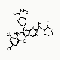 NC(=O)[C@H]1CC[C@@H](n2c(Nc3c(Cl)cc(Cl)cc3Cl)nc3cnc(N[C@@H]4CCOC[C@@H]4F)nc32)CC1